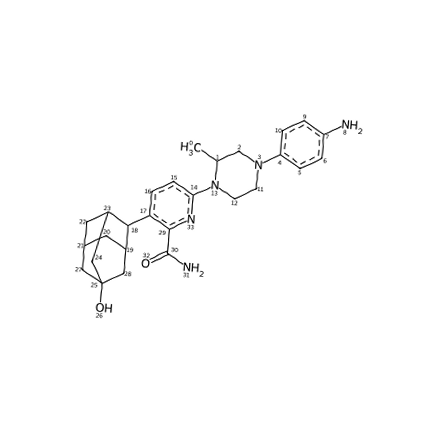 CC1CN(c2ccc(N)cc2)CCN1c1ccc(C2C3CC4CC2CC(O)(C4)C3)c(C(N)=O)n1